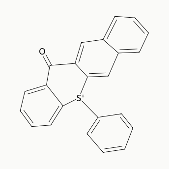 O=c1c2ccccc2[s+](-c2ccccc2)c2cc3ccccc3cc12